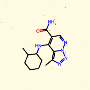 Cc1nnn2ncc(C(N)=O)c(NC3CCCCC3C)c12